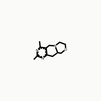 Cc1nc(C)c2c(n1)CC1COCCN1C2